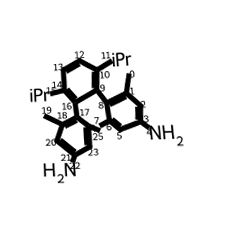 Cc1cc(N)cc(C)c1-c1c(C(C)C)ccc(C(C)C)c1-c1c(C)cc(N)cc1C